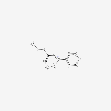 CCCC(=N)/N=C(\NC)c1ccccc1